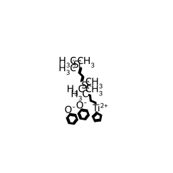 CCC[CH2][Ti+2][C]1=CC=CC1.C[Si](C)(C)C=CC=C[Si](C)(C)C.[O-]c1ccccc1.[O-]c1ccccc1